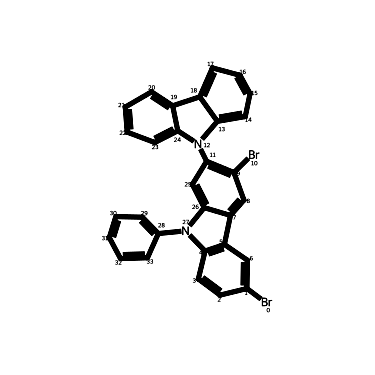 Brc1ccc2c(c1)c1cc(Br)c(-n3c4ccccc4c4ccccc43)cc1n2-c1ccccc1